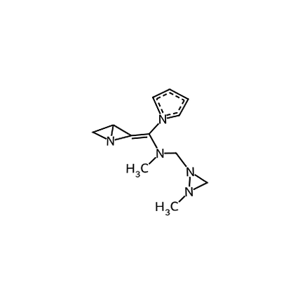 CN(CN1CN1C)/C(=C1/C2CN12)n1cccc1